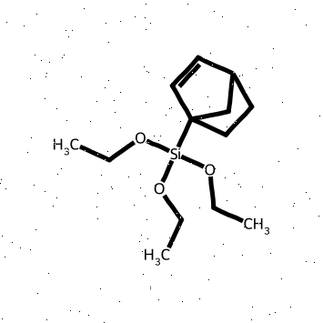 CCO[Si](OCC)(OCC)C12C=CC(CC1)C2